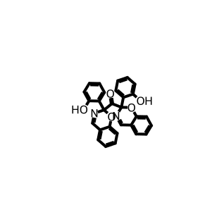 O=C(C1(c2ccccc2O)N=Cc2ccccc2O1)C1(c2ccccc2O)N=Cc2ccccc2O1